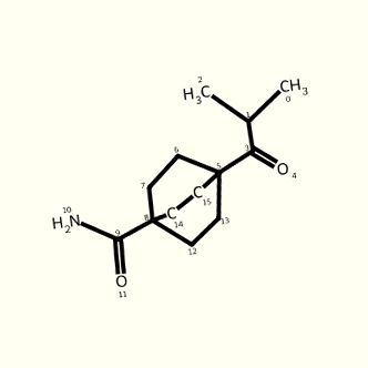 CC(C)C(=O)C12CCC(C(N)=O)(CC1)CC2